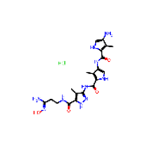 Cc1c(N)c[nH]c1C(=O)Nc1c[nH]c(C(=O)Nc2n[nH]c(C(=O)NCCC(N)=NO)c2C)c1C.Cl